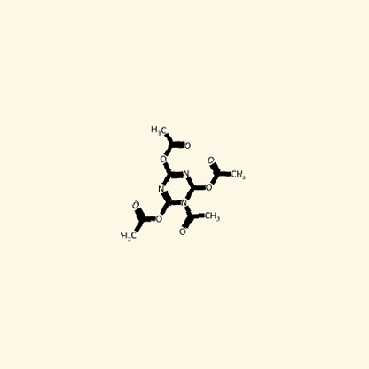 CC(=O)OC1=NC(OC(C)=O)N(C(C)=O)C(OC(C)=O)=N1